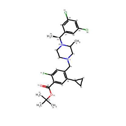 CC1CN(Cc2cc(F)c(C(=O)OC(C)(C)C)cc2C2CC2)CCN1[C@@H](C)c1cc(Cl)cc(Cl)c1